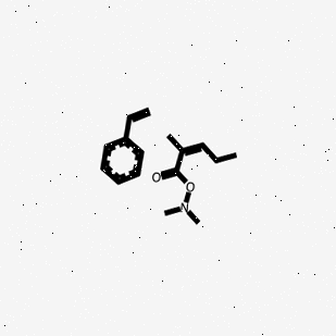 C=Cc1ccccc1.CCC=C(C)C(=O)ON(C)C